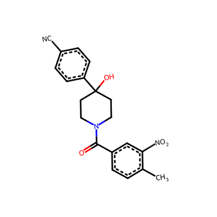 Cc1ccc(C(=O)N2CCC(O)(c3ccc(C#N)cc3)CC2)cc1[N+](=O)[O-]